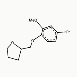 COc1cc(C(C)C)ccc1OCC1CCCO1